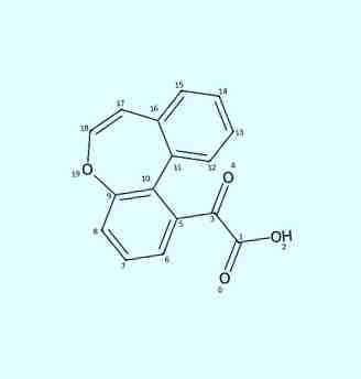 O=C(O)C(=O)c1cccc2c1-c1ccccc1C=CO2